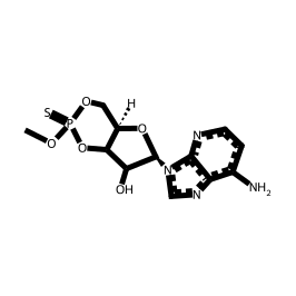 COP1(=S)OC[C@H]2O[C@@H](n3cnc4c(N)ccnc43)C(O)C2O1